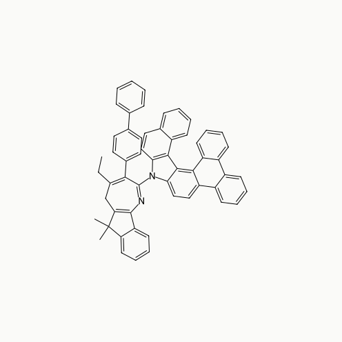 CCC1=C(c2ccc(-c3ccccc3)cc2)C(n2c3ccc4ccccc4c3c3c4c5ccccc5c5ccccc5c4ccc32)=NC2=C(C1)C(C)(C)c1ccccc12